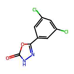 O=c1[nH]nc(-c2cc(Cl)cc(Cl)c2)o1